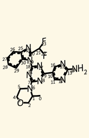 CC1COCCN1c1nc(-c2cnc(N)nc2)nc(-n2c(C(F)F)nc3ccccc32)n1